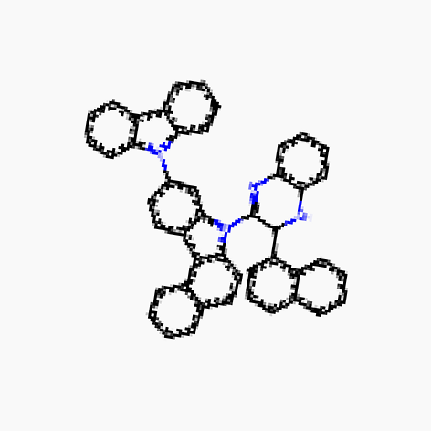 c1ccc2c(c1)N=C(n1c3cc(-n4c5ccccc5c5ccccc54)ccc3c3c4ccccc4ccc31)C(c1cccc3ccccc13)N2